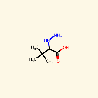 CC(C)(C)C(NN)C(=O)O